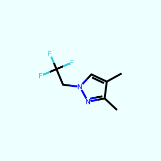 Cc1cn(CC(F)(F)F)nc1C